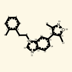 Cc1ccccc1CCn1cnc2ccc(-c3c(C)noc3C)cc21